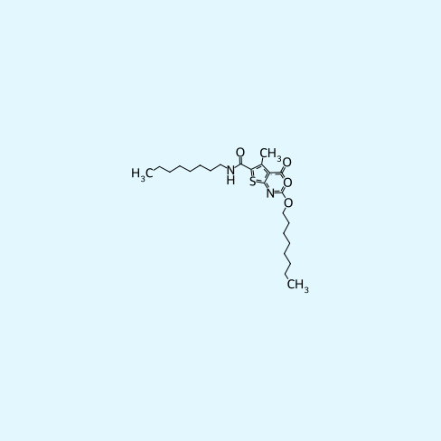 CCCCCCCCNC(=O)c1sc2nc(OCCCCCCCC)oc(=O)c2c1C